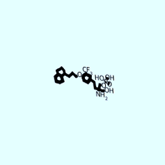 NC(CO)(CCc1ccc(OCCCC2CCCc3ccccc32)c(C(F)(F)F)c1)COP(=O)(O)O